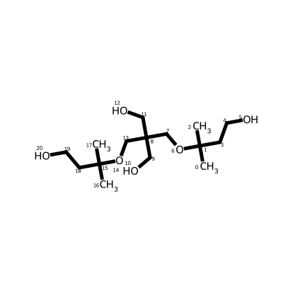 CC(C)(CCO)OCC(CO)(CO)COC(C)(C)CCO